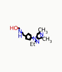 CCc1nc2c(C)nc(C)cc2n1-c1ccc(CCNCO)cc1